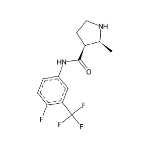 C[C@@H]1NCC[C@@H]1C(=O)Nc1ccc(F)c(C(F)(F)F)c1